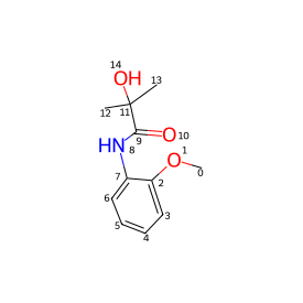 COc1ccccc1NC(=O)C(C)(C)O